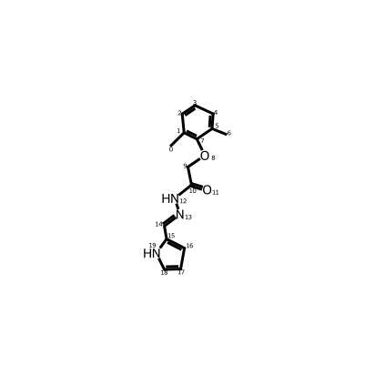 Cc1cccc(C)c1OCC(=O)N/N=C/c1ccc[nH]1